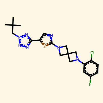 CC(C)(C)Cn1nnc(-c2cnc(N3CC4(C3)CN(c3cc(F)ccc3Cl)C4)s2)n1